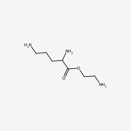 NCCCC(N)C(=O)OCCN